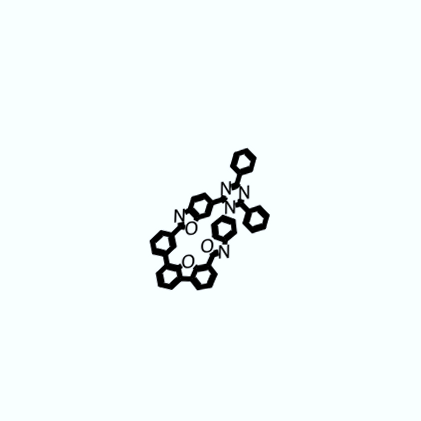 c1ccc(-c2nc(-c3ccccc3)nc(-c3ccc4nc(-c5cccc(-c6cccc7c6oc6c(-c8nc9ccccc9o8)cccc67)c5)oc4c3)n2)cc1